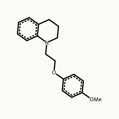 COc1ccc(OCCN2CCCc3ccccc32)cc1